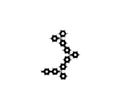 Cc1ccc(-c2ccc(N(c3ccccc3)c3ccc(-c4ccc(N(c5ccccc5)c5ccc(-c6ccc(N(C7=CCCC=C7)c7ccccc7)cc6)cc5)cc4)cc3)cc2)cc1